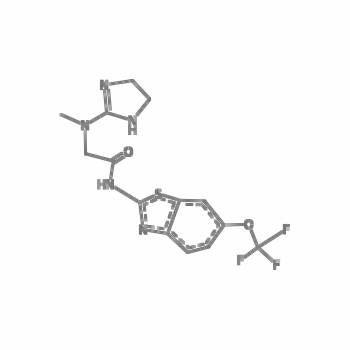 CN(CC(=O)Nc1nc2ccc(OC(F)(F)F)cc2s1)C1=NCCN1